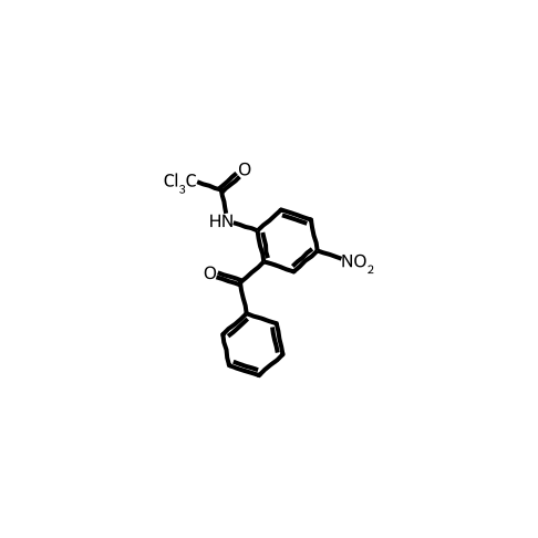 O=C(c1ccccc1)c1cc([N+](=O)[O-])ccc1NC(=O)C(Cl)(Cl)Cl